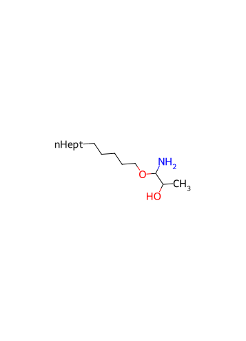 CCCCCCCCCCCCOC(N)C(C)O